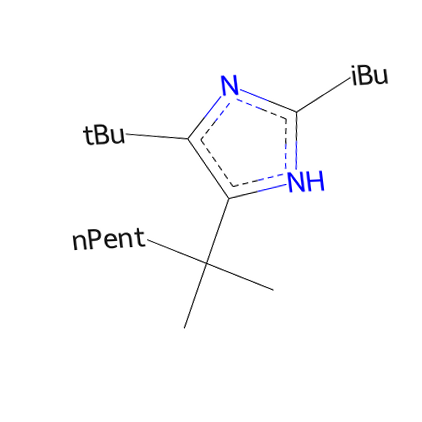 CCCCCC(C)(C)c1[nH]c(C(C)CC)nc1C(C)(C)C